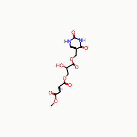 COC(=O)/C=C/C(=O)OCC(O)C(=O)OCc1c[nH]c(=O)[nH]c1=O